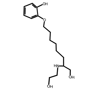 OCCNC(CO)CCCCCCOc1ccccc1O